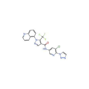 O=C(Nc1cnc(-n2ccnn2)c(Cl)c1)c1cnn(-c2cccc3ncccc23)c1C(F)(F)F